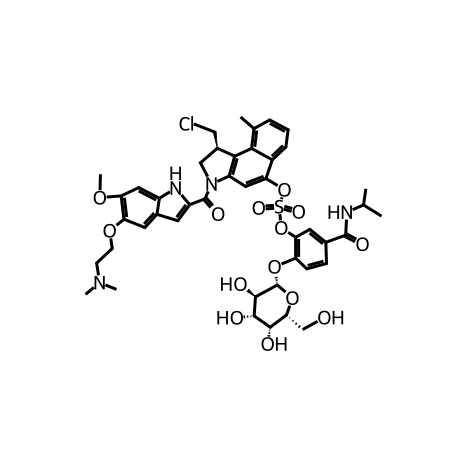 COc1cc2[nH]c(C(=O)N3C[C@@H](CCl)c4c3cc(OS(=O)(=O)Oc3cc(C(=O)NC(C)C)ccc3O[C@@H]3O[C@H](CO)[C@H](O)[C@H](O)[C@H]3O)c3cccc(C)c43)cc2cc1OCCN(C)C